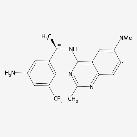 CNc1[c]cc2nc(C)nc(N[C@H](C)c3cc(N)cc(C(F)(F)F)c3)c2c1